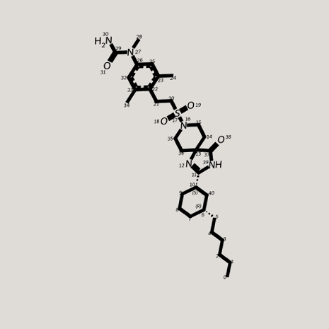 CCCCCC[C@@H]1CCC[C@H](C2=NC3(CCN(S(=O)(=O)CCc4c(C)cc(N(C)C(N)=O)cc4C)CC3)C(=O)N2)C1